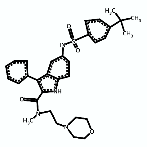 CN(CCN1CCOCC1)C(=O)c1[nH]c2ccc(NS(=O)(=O)c3ccc(C(C)(C)C)cc3)cc2c1-c1ccccc1